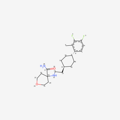 Cc1c(F)c(F)ccc1[C@H]1CC[C@H](CCNC2(C(N)=O)CCOCC2)CC1